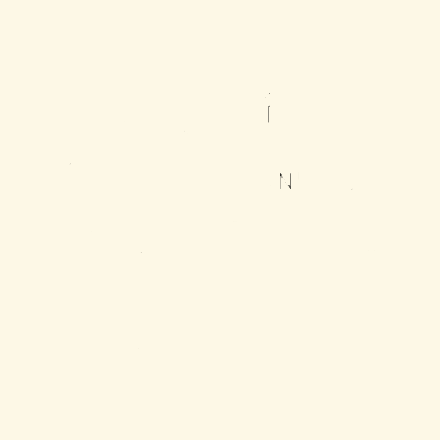 C=Cc1ccccc1-c1cccc[n+]1I